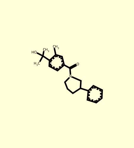 Cc1cc(C(=O)N2CCCC(c3ccccc3)C2)ccc1C(C)(C)O